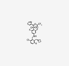 O=C(ON(c1cscn1)S(=O)(=O)c1c(F)cc(NCc2c(Cl)ccc(F)c2CN2CCC2)cc1F)C(F)(F)F